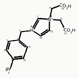 CC(C)c1ccc(C[N+]2=C[N+](CC(=O)O)(CC(=O)O)C=C2)cc1